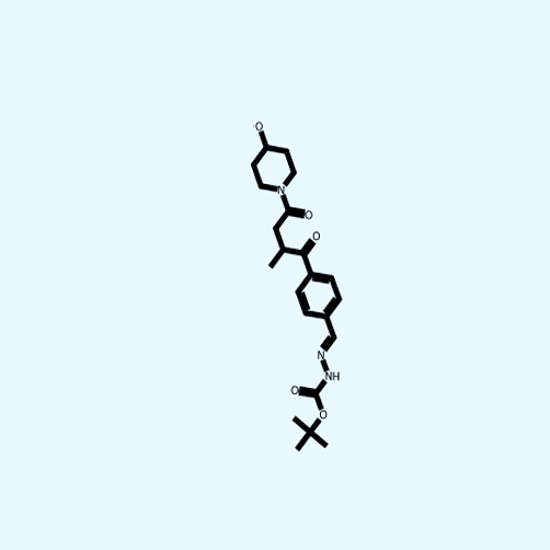 CC(CC(=O)N1CCC([O])CC1)C(=O)c1ccc(C=NNC(=O)OC(C)(C)C)cc1